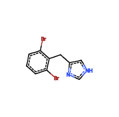 Brc1cccc(Br)c1Cc1c[nH]cn1